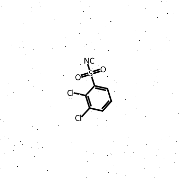 [C-]#[N+]S(=O)(=O)c1cccc(Cl)c1Cl